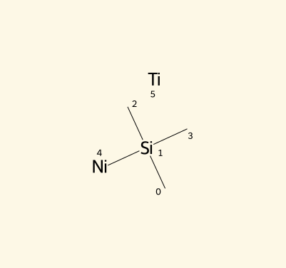 C[Si](C)(C)[Ni].[Ti]